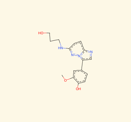 COc1cc(-c2cnc3ccc(NCCCO)nn23)ccc1O